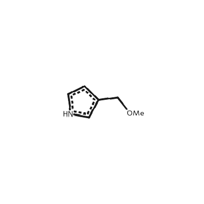 [CH2]OCc1cc[nH]c1